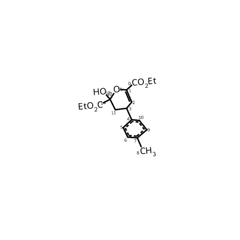 CCOC(=O)C1=CC(c2ccc(C)cc2)CC(O)(C(=O)OCC)O1